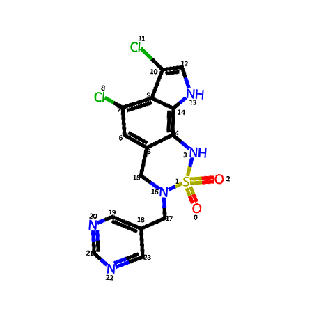 O=S1(=O)Nc2c(cc(Cl)c3c(Cl)c[nH]c23)CN1Cc1cncnc1